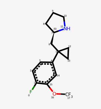 Fc1ccc(C2([CH][C@H]3CCCN3)CC2)cc1OC(F)(F)F